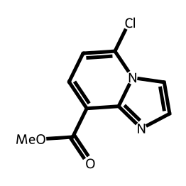 COC(=O)c1ccc(Cl)n2ccnc12